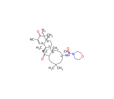 CC1(C)CCC2C(=O)C=C3[C@@]4(C)C=C(C#N)C(=O)C(C)(C)[C@@H]4CC[C@@]3(C)[C@]2(C)CC[C@@](C)(NC(=O)N2CCOCC2)CC1